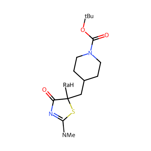 CNC1=NC(=O)[C]([RaH])(CC2CCN(C(=O)OC(C)(C)C)CC2)S1